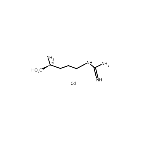 N=C(N)NCCC[C@H](N)C(=O)O.[Cd]